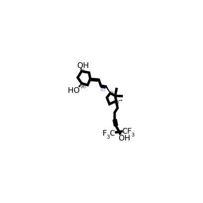 CC1(C)[C@H](/C=C/C=C2C[C@@H](O)C[C@H](O)C2)CC[C@]1(C)CCC#CC(O)(C(F)(F)F)C(F)(F)F